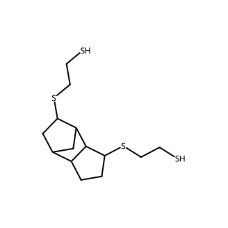 SCCSC1CC2CC1C1C(SCCS)CCC21